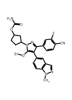 CCOc1c(-c2ccc3c(cnn3C)c2)c(-c2ccc(C#N)c(F)c2)nn1C1CCC(OC(N)=O)C1